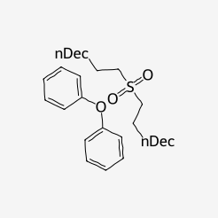 CCCCCCCCCCCCS(=O)(=O)CCCCCCCCCCCC.c1ccc(Oc2ccccc2)cc1